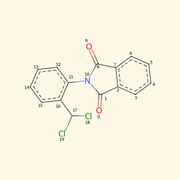 O=C1c2ccccc2C(=O)N1c1ccccc1C(Cl)Cl